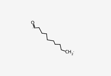 [CH2]CCCCCCCC[C]=O